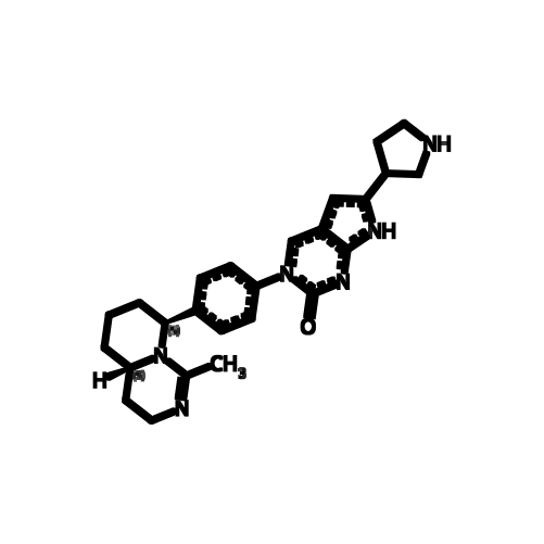 CC1=NCC[C@@H]2CCC[C@@H](c3ccc(-n4cc5cc(C6CCNC6)[nH]c5nc4=O)cc3)N12